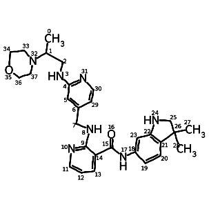 CC(CNc1cc(CNc2ncccc2C(=O)Nc2ccc3c(c2)NCC3(C)C)ccn1)N1CCOCC1